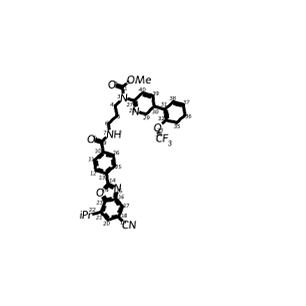 COC(=O)N(CCCNC(=O)c1ccc(-c2nc3cc(C#N)cc(C(C)C)c3o2)cc1)C1=NCC(C2=C(OC(F)(F)F)CCC=C2)C=C1